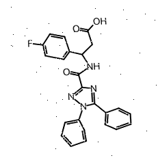 O=C(O)CC(NC(=O)c1nc(-c2ccccc2)n(-c2ccccc2)n1)c1ccc(F)cc1